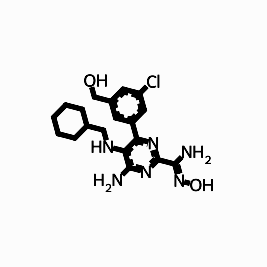 N/C(=N\O)c1nc(N)c(NCC2CCCCC2)c(-c2cc(Cl)cc(CO)c2)n1